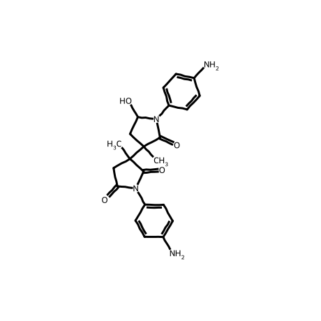 CC1(C2(C)CC(O)N(c3ccc(N)cc3)C2=O)CC(=O)N(c2ccc(N)cc2)C1=O